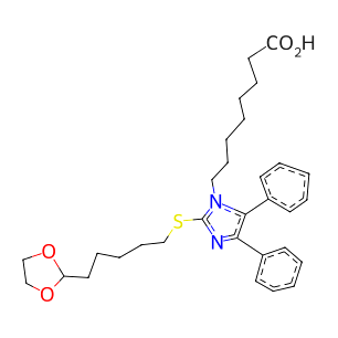 O=C(O)CCCCCCCn1c(SCCCCCC2OCCO2)nc(-c2ccccc2)c1-c1ccccc1